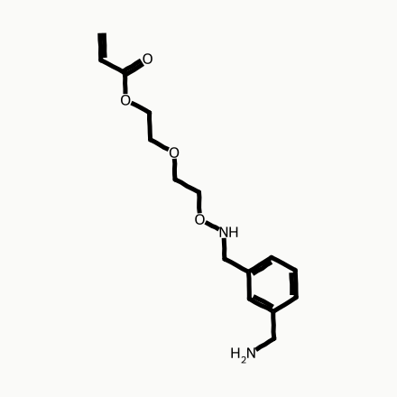 C=CC(=O)OCCOCCONCc1cccc(CN)c1